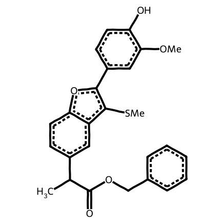 COc1cc(-c2oc3ccc(C(C)C(=O)OCc4ccccc4)cc3c2SC)ccc1O